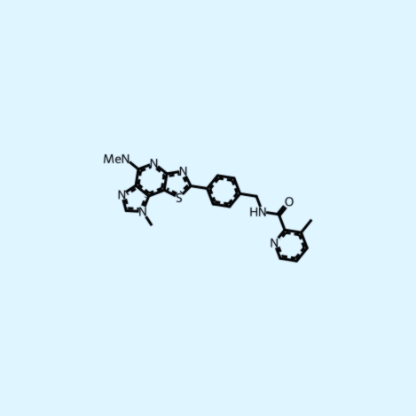 CNc1nc2nc(-c3ccc(CNC(=O)c4ncccc4C)cc3)sc2c2c1ncn2C